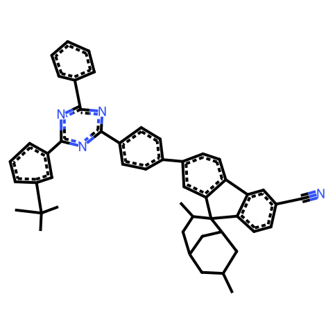 CC1CC2CC(C)C3(c4ccc(C#N)cc4-c4ccc(-c5ccc(-c6nc(-c7ccccc7)nc(-c7cccc(C(C)(C)C)c7)n6)cc5)cc43)C(C1)C2